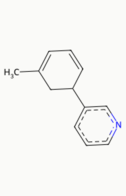 CC1=CC=CC(c2cccnc2)C1